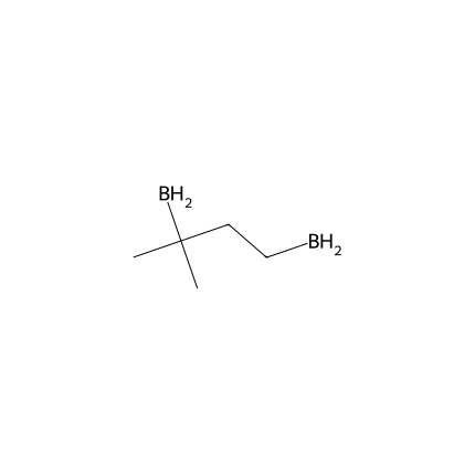 BCCC(B)(C)C